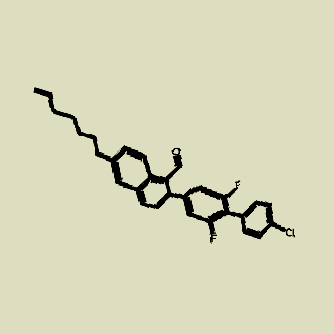 CCCCCCCc1ccc2c(C=O)c(-c3cc(F)c(-c4ccc(Cl)cc4)c(F)c3)ccc2c1